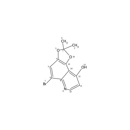 CC1(C)Oc2cc(Br)c3nccc(O)c3c2O1